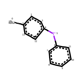 CCC(C)c1ccc([I+]c2ccccc2)cc1